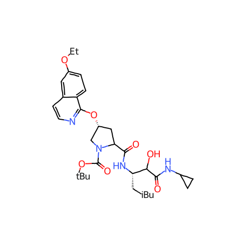 CCOc1ccc2c(O[C@@H]3CC(C(=O)N[C@@H](CC(C)CC)C(O)C(=O)NC4CC4)N(C(=O)OC(C)(C)C)C3)nccc2c1